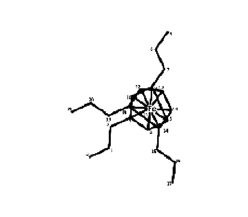 CCC[C]12[CH]3[CH]4[C]5(CCC)[CH]1[Fe]34251678[CH]2[CH]1[C]6(CCC)[C]7(CCC)[CH]28